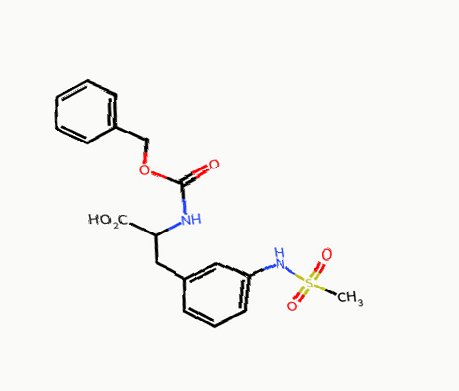 CS(=O)(=O)Nc1cccc(CC(NC(=O)OCc2ccccc2)C(=O)O)c1